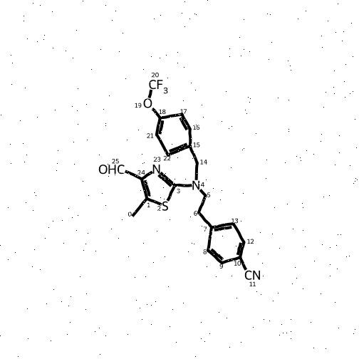 Cc1sc(N(CCc2ccc(C#N)cc2)Cc2ccc(OC(F)(F)F)cc2)nc1C=O